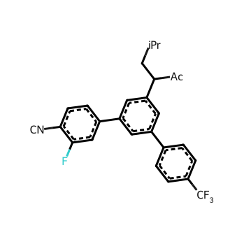 [C-]#[N+]c1ccc(-c2cc(-c3ccc(C(F)(F)F)cc3)cc(C(CC(C)C)C(C)=O)c2)cc1F